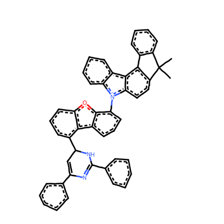 CC1(C)c2ccccc2-c2c1ccc1c2c2ccccc2n1-c1cccc2c1oc1cccc(C3C=C(c4ccccc4)N=C(c4ccccc4)N3)c12